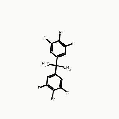 CC(C)(c1cc(F)c(Br)c(F)c1)c1cc(F)c(Br)c(F)c1